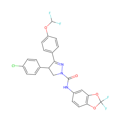 O=C(Nc1ccc2c(c1)OC(F)(F)O2)N1CC(c2ccc(Cl)cc2)C(c2ccc(OC(F)F)cc2)=N1